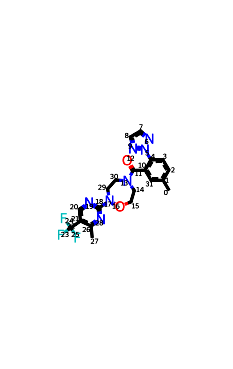 Cc1ccc(-n2nccn2)c(C(=O)N2CCON(c3ncc(C(F)(F)F)c(C)n3)CC2)c1